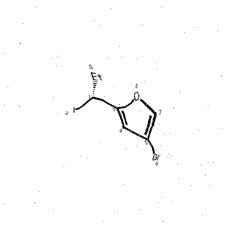 CC[C@@H](I)c1cc(Br)co1